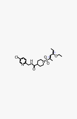 C/C=C(\C=C(/C)S(=O)(=O)N1CCC(C(=O)NCc2ccc(Cl)cn2)CC1)OCC